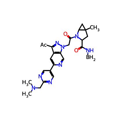 BNC(=O)C1CC2(C)CC2N1C(=O)Cn1nc(C(C)=O)c2cc(-c3cnc(CN(C)C)nc3)ncc21